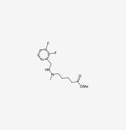 COC(=O)CCCCN(C)NCc1cccc(F)c1F